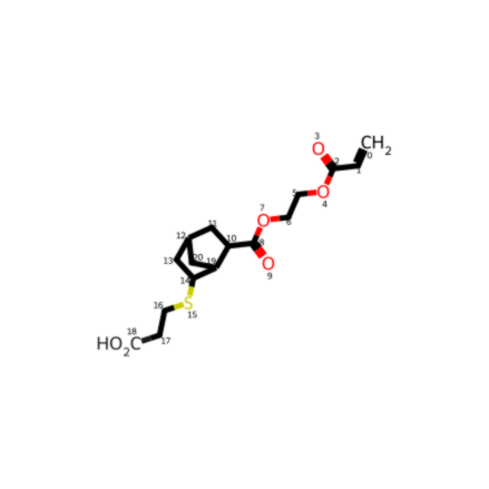 C=CC(=O)OCCOC(=O)C1CC2CC(SCCC(=O)O)C1C2